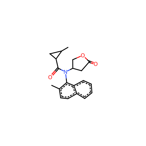 Cc1ccc2ccccc2c1N(C(=O)C1CC1C)C1COC(=O)C1